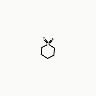 O=S1(=O)[CH]CC[CH]C1